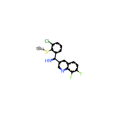 CC(C)(C)Sc1c(Cl)cccc1C(=N)c1cnc2c(F)c(F)ccc2c1